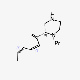 C=C(/C=C\C=C/C)[C@@H]1CNCCN1C(C)C